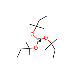 CCC(C)(C)O[Si](OC(C)(C)CC)OC(C)(C)CC